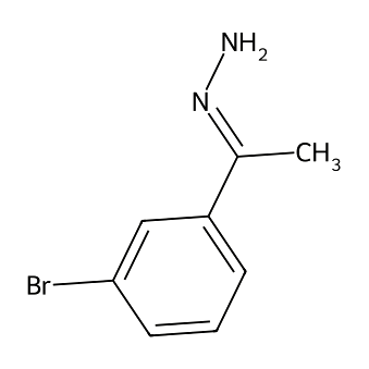 CC(=NN)c1cccc(Br)c1